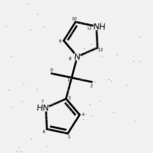 CC(C)(c1ccc[nH]1)N1C=CNC1